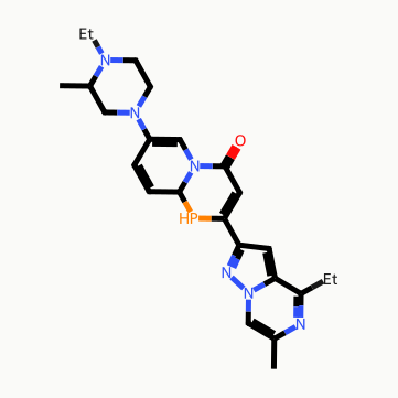 CCc1nc(C)cn2nc(C3=CC(=O)N4C=C(N5CCN(CC)C(C)C5)C=CC4P3)cc12